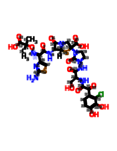 CC(C)(O/N=C(\C(=O)N[C@@H]1C(=O)N2C[C@@](C(=O)O)(N3CCN(NC(=O)[C@H](CO)NC(=O)C(=O)c4ccc(O)c(O)c4Cl)C3=O)S[C@H]12)c1csc(N)n1)C(=O)O